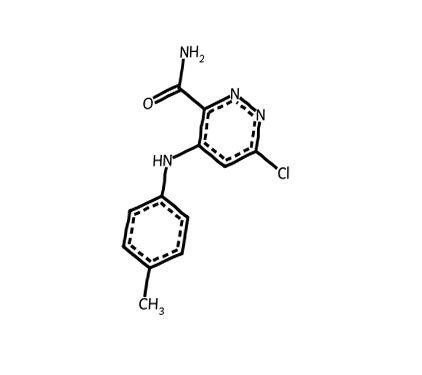 Cc1ccc(Nc2cc(Cl)nnc2C(N)=O)cc1